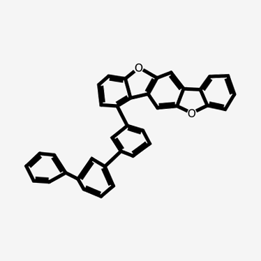 c1ccc(-c2cccc(-c3cccc(-c4cccc5oc6cc7c(cc6c45)oc4ccccc47)c3)c2)cc1